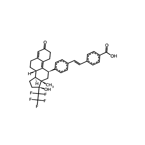 C[C@]12C[C@H](c3ccc(C=Cc4ccc(C(=O)O)cc4)cc3)C3=C4CCC(=O)C=C4CC[C@H]3[C@@H]1CC[C@@]2(O)C(F)(F)C(F)(F)F